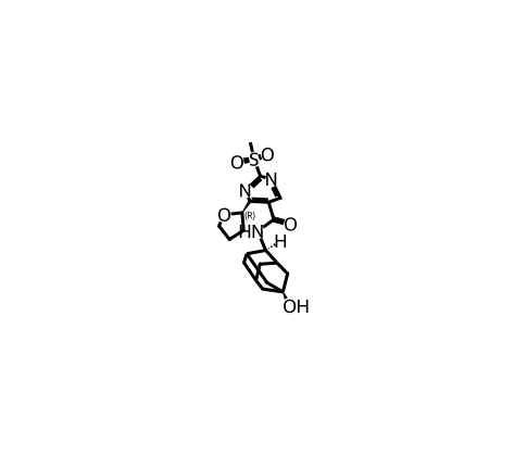 CS(=O)(=O)c1ncc(C(=O)N[C@H]2C3CC4CC2C[C@@](O)(C4)C3)c([C@H]2CCCO2)n1